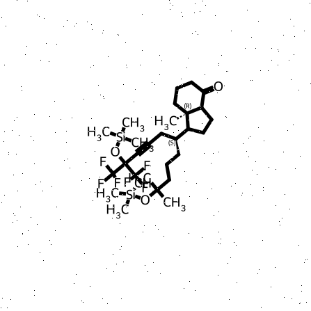 CC(C)(CCC[C@@H](CC#CC(O[Si](C)(C)C)(C(F)(F)F)C(F)(F)F)C1CCC2C(=O)CCC[C@@]21C)O[Si](C)(C)C